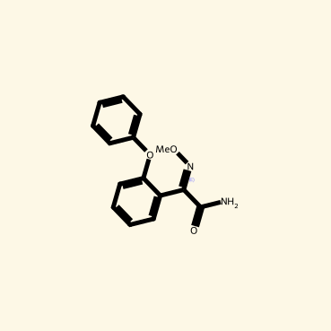 CO/N=C(/C(N)=O)c1ccccc1Oc1ccccc1